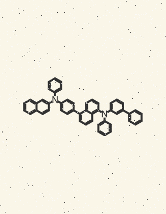 c1ccc(-c2cccc(N(c3ccccc3)c3cccc4c(-c5ccc(N(c6ccccc6)c6ccc7ccccc7c6)cc5)cccc34)c2)cc1